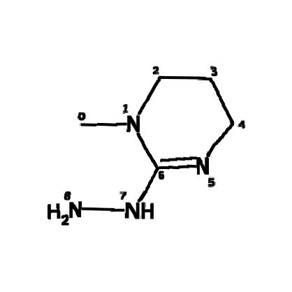 CN1CCCN=C1NN